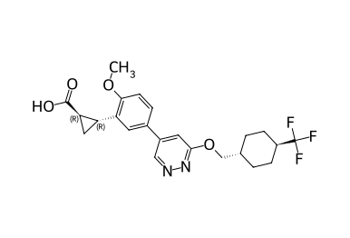 COc1ccc(-c2cnnc(OC[C@H]3CC[C@H](C(F)(F)F)CC3)c2)cc1[C@@H]1C[C@H]1C(=O)O